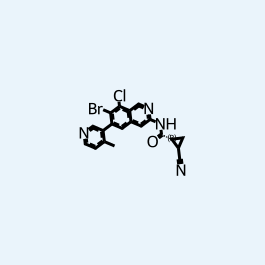 Cc1ccncc1-c1cc2cc(NC(=O)[C@@H]3CC3C#N)ncc2c(Cl)c1Br